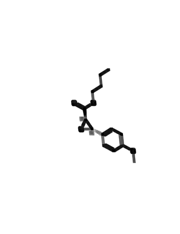 CCCCOC(=O)[C@@H]1O[C@H]1c1ccc(OC)cc1